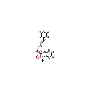 CCC(C(=O)O[C@@H](C)CC/C=C/c1ccccc1)c1ccccc1